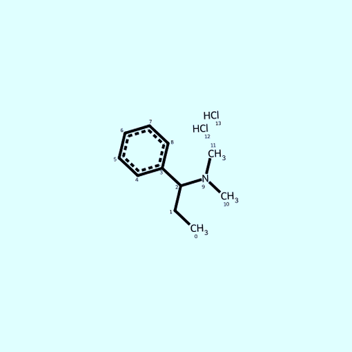 CCC(c1ccccc1)N(C)C.Cl.Cl